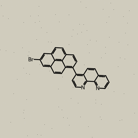 Brc1cc2ccc3ccc(-c4ccnc5c4ccc4cccnc45)c4ccc(c1)c2c34